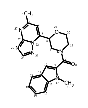 Cc1cc(C2CN(C(=O)c3cc4ccccc4n3C)CCO2)n2ncnc2n1